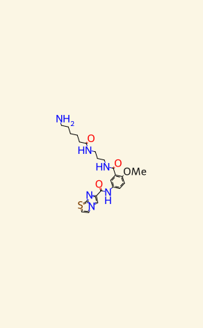 COc1ccc(NC(=O)c2cn3ccsc3n2)cc1C(=O)NCCCNC(=O)CCCCCN